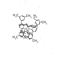 CCCCCC1=Cc2c(-c3cc(C)cc(C)c3)ccc(-c3cc(C)cc(C)c3)c2[CH]1[Zr]([CH3])([CH3])(=[SiH2])[CH]1C(CCCCC)=Cc2c(-c3cc(C)cc(C)c3)ccc(-c3cc(C)cc(C)c3)c21